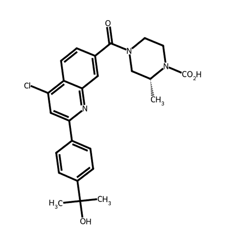 C[C@@H]1CN(C(=O)c2ccc3c(Cl)cc(-c4ccc(C(C)(C)O)cc4)nc3c2)CCN1C(=O)O